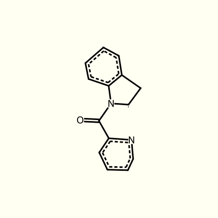 O=C(c1ccccn1)N1[CH]Cc2ccccc21